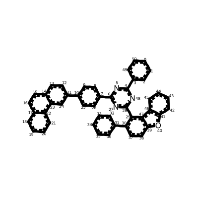 c1ccc(-c2nc(-c3ccc(-c4ccc5ccc6ccccc6c5c4)cc3)nc(-c3c(-c4ccccc4)ccc4oc5ccccc5c34)n2)cc1